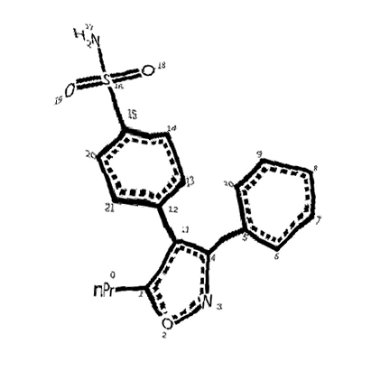 CCCc1onc(-c2ccccc2)c1-c1ccc(S(N)(=O)=O)cc1